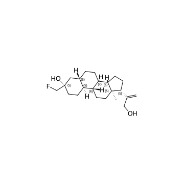 C=C(CO)[C@H]1CC[C@H]2[C@@H]3CC[C@H]4C[C@](O)(CF)CC[C@@H]4[C@H]3CC[C@]12C